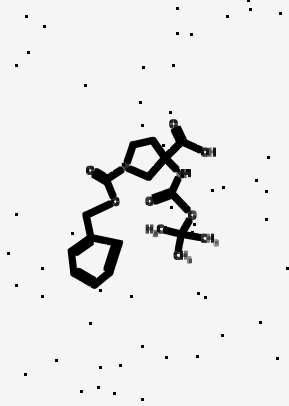 CC(C)(C)OC(=O)NC1(C(=O)O)CCN(C(=O)OCc2ccccc2)C1